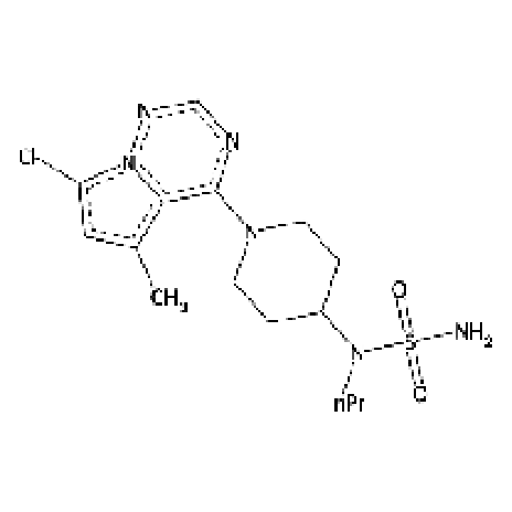 CCCN(C1CCN(c2ncnn3c(Cl)cc(C)c23)CC1)S(N)(=O)=O